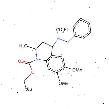 CCOC(=O)N(Cc1ccccc1)C1CC(C)N(C(=O)OCC(C)(C)C)c2cc(OC)c(OC)cc21